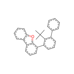 CC(C)(C)c1c(-c2ccccc2)cccc1-c1cccc2c1oc1ccccc12